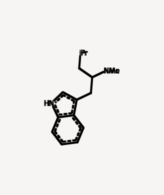 CNC(Cc1c[nH]c2ccccc12)CC(C)C